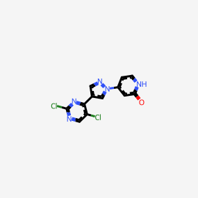 O=c1cc(-n2cc(-c3nc(Cl)ncc3Cl)cn2)cc[nH]1